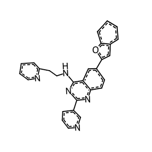 c1ccc(CCNc2nc(-c3cccnc3)nc3ccc(-c4cc5ccccc5o4)cc23)nc1